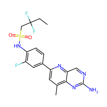 CCC(F)(F)CS(=O)(=O)Nc1ccc(-c2cc(C)c3nc(N)ncc3n2)cc1F